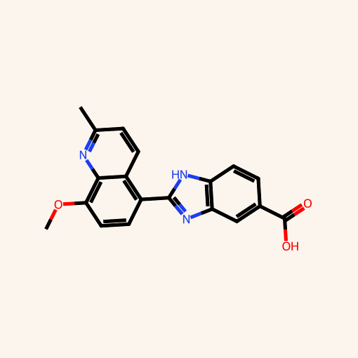 COc1ccc(-c2nc3cc(C(=O)O)ccc3[nH]2)c2ccc(C)nc12